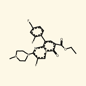 CCOC(=O)c1cc(-c2ccc(F)cc2F)c2nc(N3CCN(C)CC3)c(F)cn2c1=O